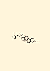 CC(O)(CCc1cnc[nH]1)[C@H]1CC[C@H]2[C@@H]3CC=C4C[C@@H](O)CC[C@]4(C)[C@H]3CC[C@]12C